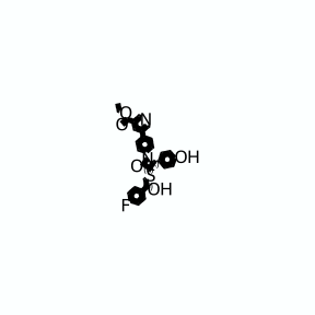 CCOC(=O)c1cncc(-c2ccc(N3C(=O)[C@H](SC[C@@H](O)c4ccc(F)cc4)[C@H]3c3ccc(O)cc3)cc2)c1